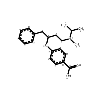 CC(C)N(C)CCC(Cc1ccccc1)Oc1ccc(C(=O)O)cc1